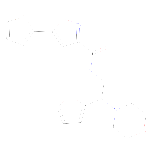 O=C(NCC(c1ccco1)N1CCOCC1)c1cc(-c2cccs2)on1